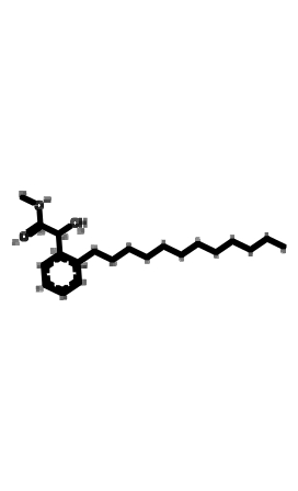 CCCCCCCCCCCCc1ccccc1C(O)C(=O)OC